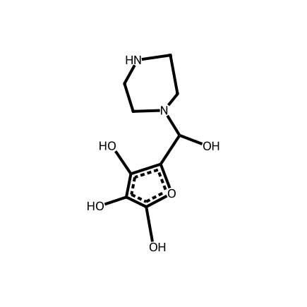 Oc1oc(C(O)N2CCNCC2)c(O)c1O